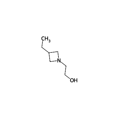 CCC1CN(CCO)C1